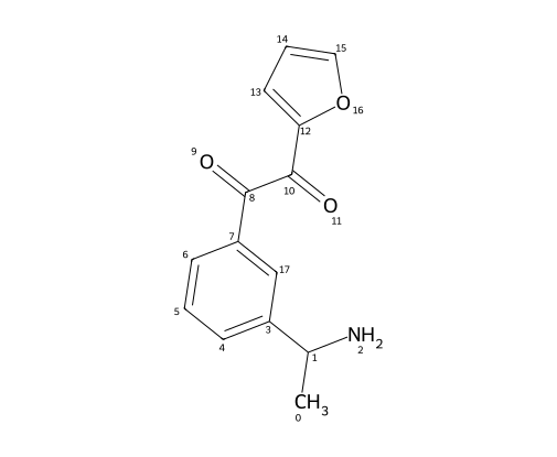 CC(N)c1cccc(C(=O)C(=O)c2ccco2)c1